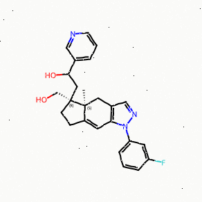 C[C@]12Cc3cnn(-c4cccc(F)c4)c3C=C1CC[C@@]2(CO)CC(O)c1cccnc1